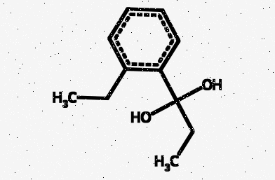 CCc1ccccc1C(O)(O)CC